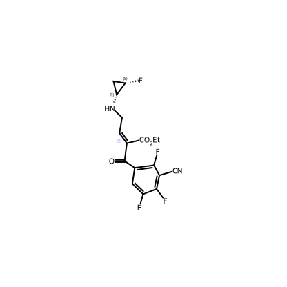 CCOC(=O)/C(=C\CN[C@@H]1C[C@@H]1F)C(=O)c1cc(F)c(F)c(C#N)c1F